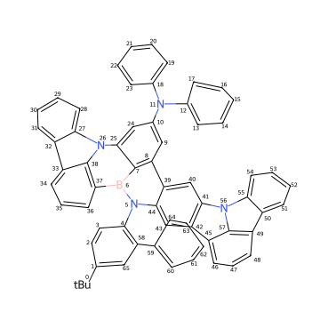 CC(C)(C)c1ccc(N2B3c4c(cc(N(c5ccccc5)c5ccccc5)cc4-n4c5ccccc5c5cccc3c54)-c3cc4c(cc32)c2cccc3c5ccccc5n4c32)c(-c2ccccc2)c1